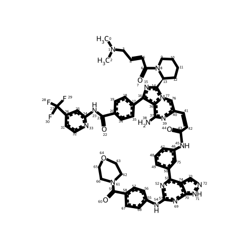 CN(C)C/C=C/C(=O)N1CCCC[C@H]1c1nc(-c2ccc(C(=O)Nc3cc(C(F)(F)F)ccn3)cc2)c2c(N)nc(/C=C\C(=O)Nc3cccc(-c4nc(Nc5ccc(C(=O)N6CCOCC6)cc5)nc5[nH]ncc45)c3)cn12